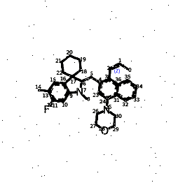 C/C=C\c1c(CC2N(C)c3cc(F)c(C)cc3C23CCCCC3)cc(N2CCOCC2)c2ccccc12